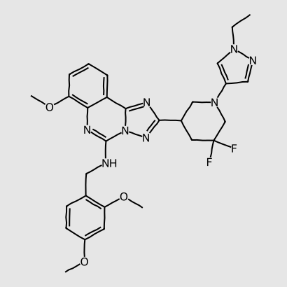 CCn1cc(N2CC(c3nc4c5cccc(OC)c5nc(NCc5ccc(OC)cc5OC)n4n3)CC(F)(F)C2)cn1